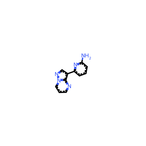 Nc1cccc(-c2cnn3cccnc23)n1